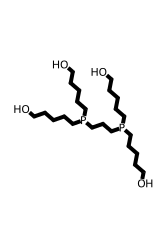 OCCCCCP(CCCCCO)CCCP(CCCCCO)CCCCCO